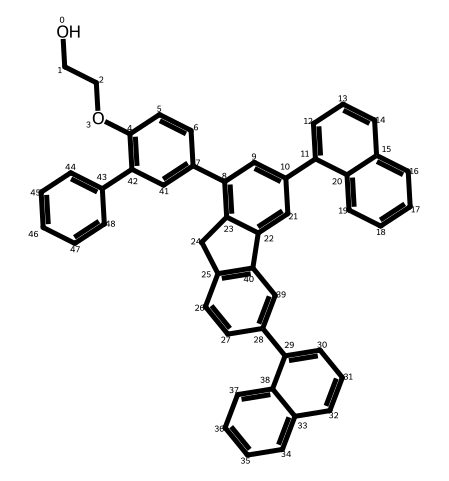 OCCOc1ccc(-c2cc(-c3cccc4ccccc34)cc3c2Cc2ccc(-c4cccc5ccccc45)cc2-3)cc1-c1ccccc1